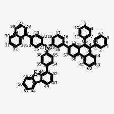 c1ccc(-c2c(-c3ccccc3)c3cc(-c4cccc(N(c5ccc(-c6cccc7ccccc67)cc5)c5ccc(-c6cccc7c6sc6ccccc67)cc5)c4)ccc3c3ccccc23)cc1